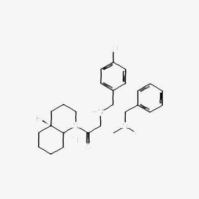 CCc1ccc(CN[C@H](CN(C)Cc2ccccc2)C(=O)N2CCC[C@H]3CCCC[C@@H]32)cc1